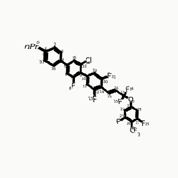 CCCc1ccc(-c2cc(F)c(-c3cc(F)c(/C=C/C(F)(F)Oc4cc(F)c(C(F)(F)F)c(F)c4)c(F)c3)c(Cl)c2)cc1